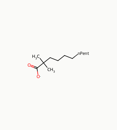 CCCCCCCCCC(C)(C)C([O])=O